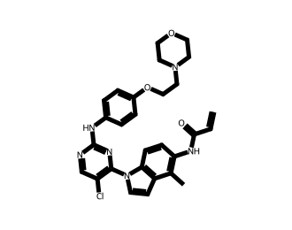 C=CC(=O)Nc1ccc2c(ccn2-c2nc(Nc3ccc(OCCN4CCOCC4)cc3)ncc2Cl)c1C